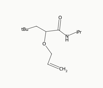 C=CCOC(CC(C)(C)C)C(=O)NC(C)C